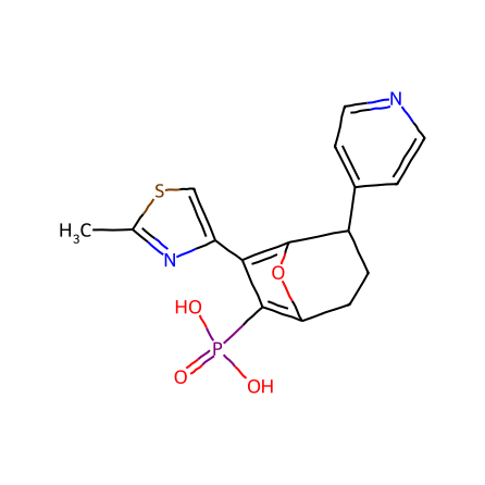 Cc1nc(-c2c3oc(c2P(=O)(O)O)CCC3c2ccncc2)cs1